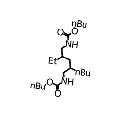 CCCCOC(=O)NCC(CC)CC(CCCC)CNC(=O)OCCCC